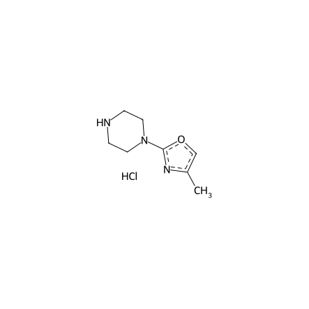 Cc1coc(N2CCNCC2)n1.Cl